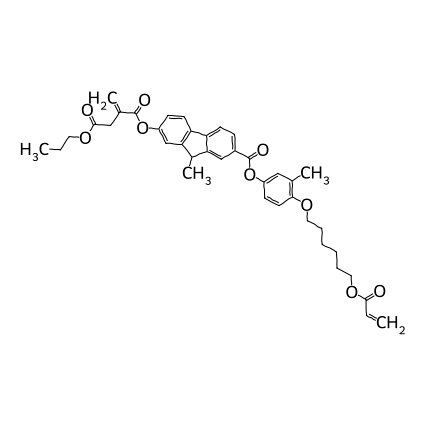 C=CC(=O)OCCCCCCOc1ccc(OC(=O)c2ccc3c(c2)C(C)c2cc(OC(=O)C(=C)CC(=O)OCCC)ccc2-3)cc1C